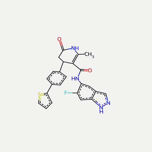 CC1=C(C(=O)Nc2cc3cn[nH]c3cc2F)C(c2ccc(-c3cccs3)cc2)CC(=O)N1